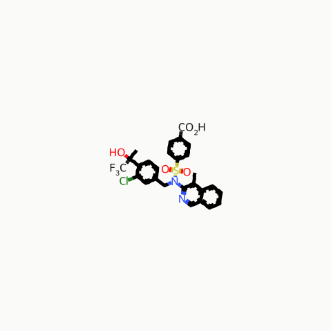 Cc1c(N(Cc2ccc(C(C)(O)C(F)(F)F)c(Cl)c2)S(=O)(=O)c2ccc(C(=O)O)cc2)ncc2ccccc12